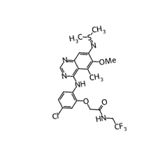 COc1c(N=S(C)C)cc2ncnc(Nc3ccc(Cl)cc3OCC(=O)NCC(F)(F)F)c2c1C